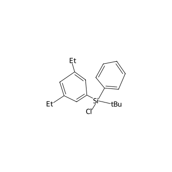 CCc1cc(CC)cc([Si](Cl)(c2ccccc2)C(C)(C)C)c1